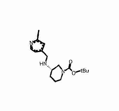 Cc1cc(CN[C@H]2CCCN(C(=O)OC(C)(C)C)C2)ccn1